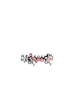 C=C(O)CC(O)(CC)CCOC(=O)COC(=O)C(C)C(C)(C)C